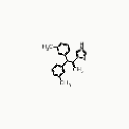 C=C(c1c[nH]cn1)C(c1cccc(C)c1)c1cccc(C)c1